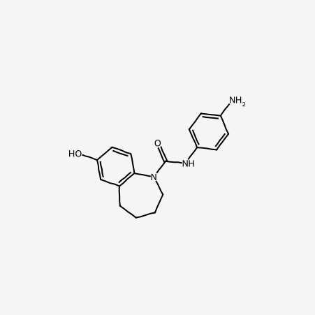 Nc1ccc(NC(=O)N2CCCCc3cc(O)ccc32)cc1